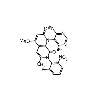 COc1cc(=O)n(-c2c(C(C)C)ncnc2C(C)C)c2c(=O)n(-c3c(F)cccc3[N+](=O)[O-])c(C)cc12